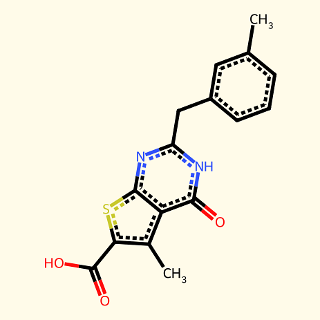 Cc1cccc(Cc2nc3sc(C(=O)O)c(C)c3c(=O)[nH]2)c1